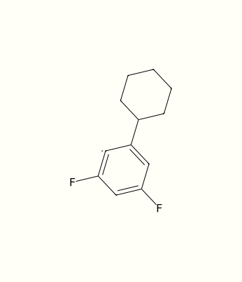 Fc1[c]c(C2CCCCC2)cc(F)c1